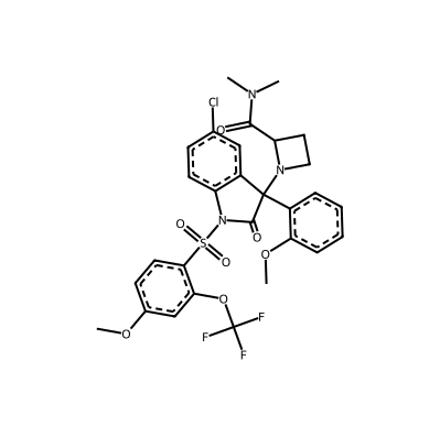 COc1ccc(S(=O)(=O)N2C(=O)C(c3ccccc3OC)(N3CCC3C(=O)N(C)C)c3cc(Cl)ccc32)c(OC(F)(F)F)c1